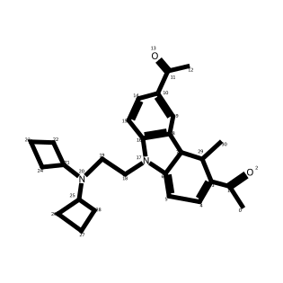 CC(=O)C1=CC=C2C(c3cc(C(C)=O)ccc3N2CCN(C2CCC2)C2CCC2)C1C